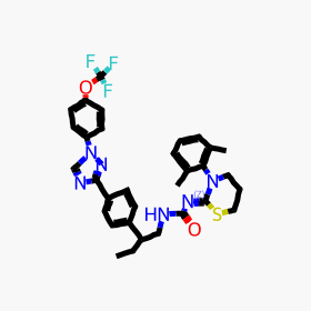 CCC(CNC(=O)/N=C1\SCCCN1c1c(C)cccc1C)c1ccc(-c2ncn(-c3ccc(OC(F)(F)F)cc3)n2)cc1